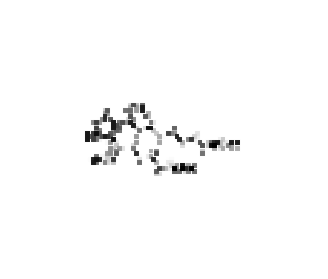 CCCCCCCCCCCCCCCCCC(C)[n+]1cc[nH]c1C(CCCCCC)CCCCCCCCCCCCCC